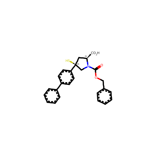 O=C(O)[C@@H]1C[C@@](S)(c2ccc(-c3ccccc3)cc2)CN1C(=O)OCc1ccccc1